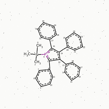 C[Si](C)(C)p1c(-c2ccccc2)c(-c2ccccc2)c(-c2ccccc2)c1-c1ccccc1